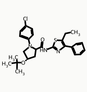 CCc1sc(NC(=O)C2C[C@@H](OC(C)(C)C)CN2c2ccc(Cl)cc2)nc1-c1ccccc1